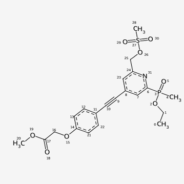 CCOP(C)(=O)c1cc(C#Cc2ccc(OCC(=O)OC)cc2)cc(COS(C)(=O)=O)n1